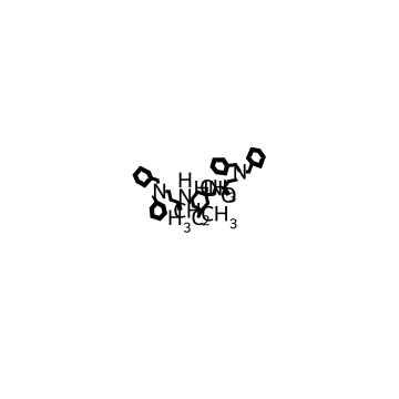 C=C(CCN(Cc1ccccc1)Cc1ccccc1)NC1CC(C)(C)CC(C)(CNC(=O)CCN(Cc2ccccc2)Cc2ccccc2)C1